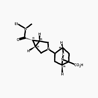 CCN(C)C(=O)[C@@H]1[C@@H]2CN(C3C[C@H]4CC[C@@H]3CN4C(=O)O)C[C@@H]21